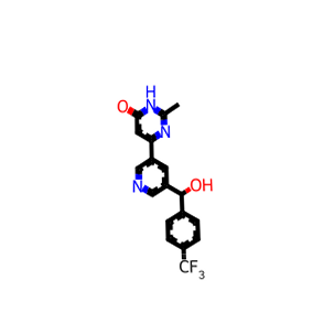 Cc1nc(-c2cncc(C(O)c3ccc(C(F)(F)F)cc3)c2)cc(=O)[nH]1